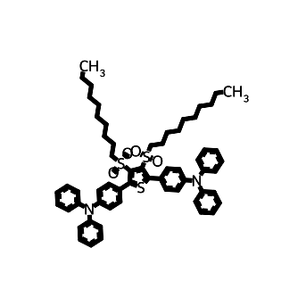 CCCCCCCCCCS(=O)(=O)c1c(-c2ccc(N(c3ccccc3)c3ccccc3)cc2)sc(-c2ccc(N(c3ccccc3)c3ccccc3)cc2)c1S(=O)(=O)CCCCCCCCCC